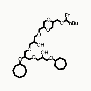 CCCCC(CC)OCC1COC(COCC(O)COCC(COCC(O)COC2CCCCCC2)OC2CCCCCCC2)CO1